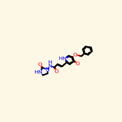 O=C(C=Cc1cc(=O)c(OCc2ccccc2)c[nH]1)NN1CCNC1=O